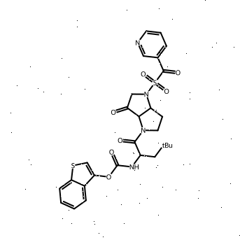 CC(C)(C)CC(NC(=O)Oc1csc2ccccc12)C(=O)N1CCC2C1C(=O)CN2S(=O)(=O)C(=O)c1cccnc1